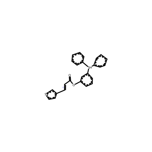 O=C(/C=C/c1ccsc1)Oc1cccc([SH](c2ccccc2)c2ccccc2)c1